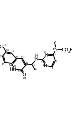 CC(Nc1nccc(N(C)C(=O)O)n1)c1cc2cc(Cl)ccc2[nH]c1=O